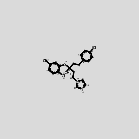 CC(CCc1ccc(Cl)cc1)(CCn1ccnc1)Sc1cc(Cl)ccc1Cl